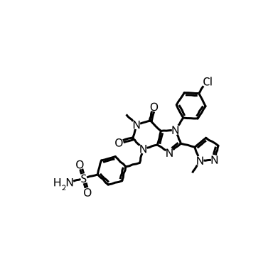 Cn1nccc1-c1nc2c(c(=O)n(C)c(=O)n2Cc2ccc(S(N)(=O)=O)cc2)n1-c1ccc(Cl)cc1